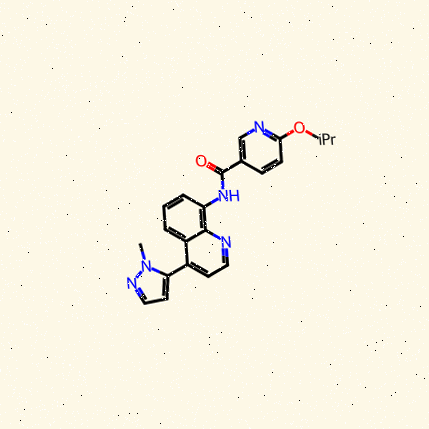 CC(C)Oc1ccc(C(=O)Nc2cccc3c(-c4ccnn4C)ccnc23)cn1